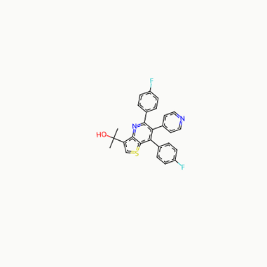 CC(C)(O)c1csc2c(-c3ccc(F)cc3)c(-c3ccncc3)c(-c3ccc(F)cc3)nc12